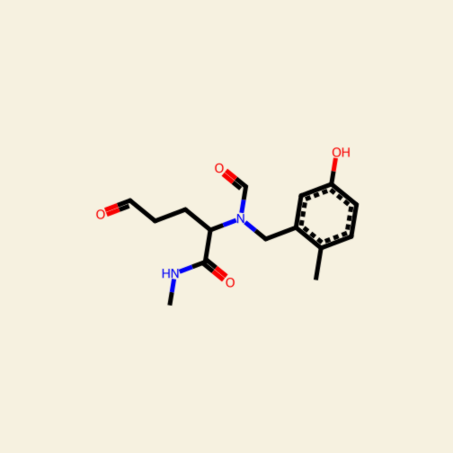 CNC(=O)C(CCC=O)N(C=O)Cc1cc(O)ccc1C